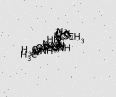 Cc1ccc(-c2nccc3[nH]c(-c4n[nH]c5ccc(-c6cncc(NC(=O)CN(C)C)c6)nc45)cc23)s1